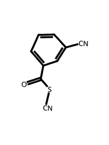 N#CSC(=O)c1cccc(C#N)c1